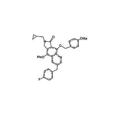 COc1ccc(COc2c3c(c(OC)c4cc(Cc5ccc(F)cc5)cnc24)CN(CC2CC2)C3=O)cc1